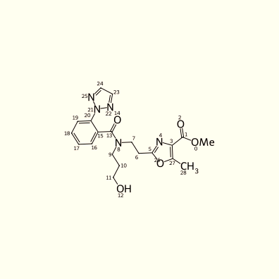 COC(=O)c1nc(CCN(CCCO)C(=O)c2ccccc2-n2nccn2)oc1C